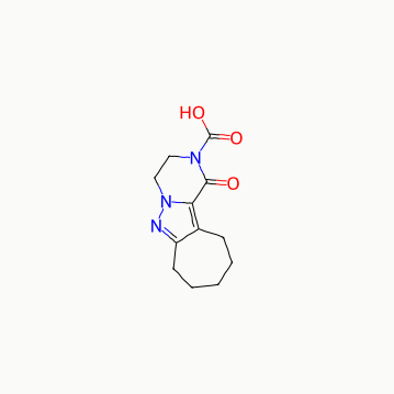 O=C(O)N1CCn2nc3c(c2C1=O)CCCCC3